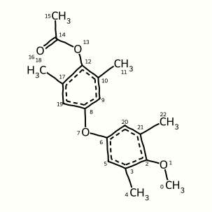 COc1c(C)cc(Oc2cc(C)c(OC(C)=O)c(C)c2)cc1C